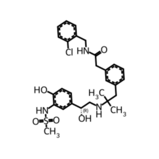 CC(C)(Cc1cccc(CC(=O)NCc2ccccc2Cl)c1)NC[C@H](O)c1ccc(O)c(NS(C)(=O)=O)c1